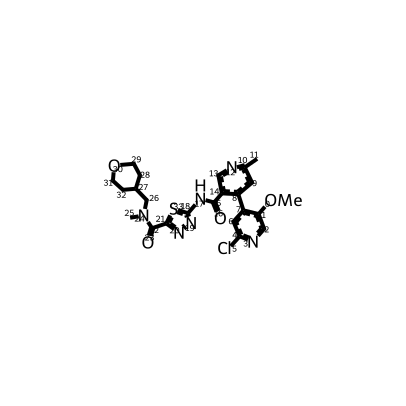 COc1cnc(Cl)cc1-c1cc(C)ncc1C(=O)Nc1nnc(C(=O)N(C)CC2CCOCC2)s1